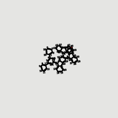 c1ccc(-c2cc(-c3ccccc3)nc(-n3c4ccccc4c4cc(-n5c6ccccc6c6ccccc65)c(-n5c6ccccc6c6ccccc65)cc43)n2)cc1